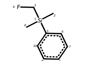 C[Si](C)(CF)c1ccccc1